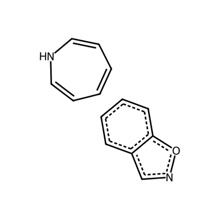 C1=CC=CNC=C1.c1ccc2oncc2c1